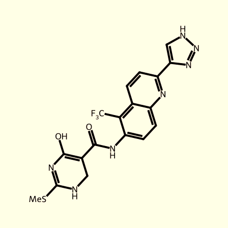 CSC1=NC(O)=C(C(=O)Nc2ccc3nc(-c4c[nH]nn4)ccc3c2C(F)(F)F)CN1